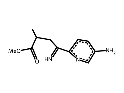 COC(=O)C(C)CC(=N)c1ccc(N)cn1